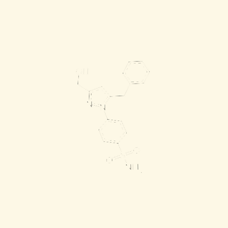 NS(=O)(=O)c1ccc(-n2nc(CO)cc2Cc2ccccc2)cc1